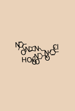 Cc1ccc(N(CCCN2CC3=CN(C(=O)c4c(C)ccnc4C)CC3C2)C(=O)C2CCN(CC(=O)O)C(=O)C2)cc1Cl